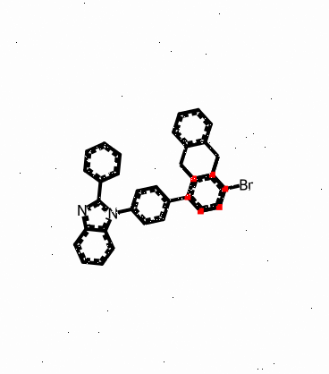 Brc1ccc(-c2ccc(-n3c(-c4ccccc4)nc4ccccc43)cc2)c2c1C1c3ccccc3C2c2ccccc21